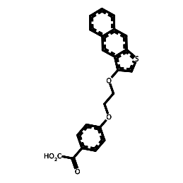 O=C(O)C(=O)c1ccc(OCCOc2csc3cc4ccccc4cc23)cc1